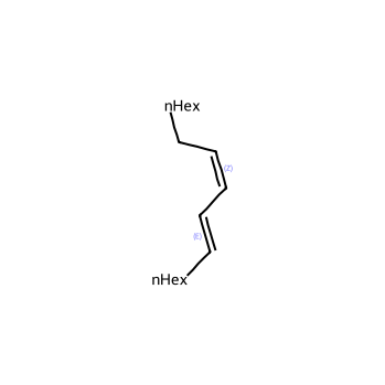 [CH2]CCCCCC/C=C\C=C\CCCCCC